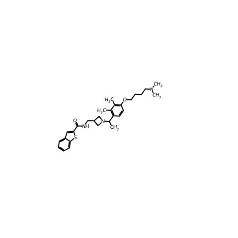 Cc1c(OCCCCN(C)C)ccc(C(C)N2CC(CNC(=O)c3cc4ccccc4s3)C2)c1C